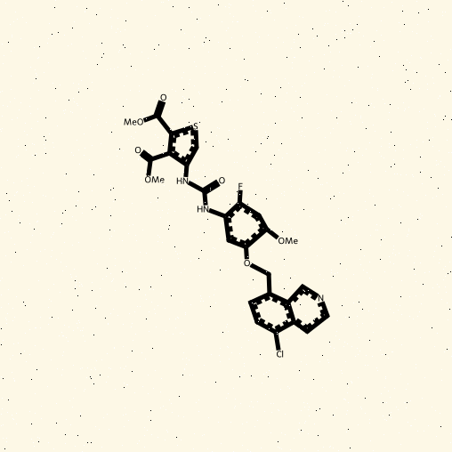 COC(=O)c1scc(NC(=O)Nc2cc(OCc3ccc(Cl)c4ccncc34)c(OC)cc2F)c1C(=O)OC